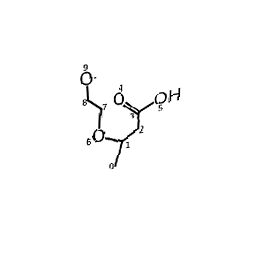 CC(CC(=O)O)OCC[O]